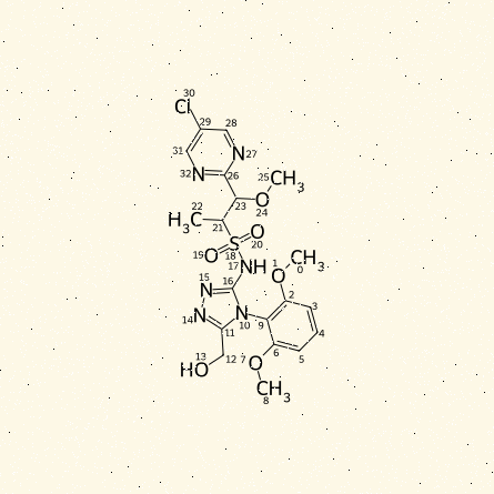 COc1cccc(OC)c1-n1c(CO)nnc1NS(=O)(=O)C(C)C(OC)c1ncc(Cl)cn1